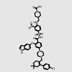 CC1(C)CCC(CN2CCN(c3ccc(C(=O)NS(=O)(=O)c4ccc(NCC5CCN(C(=O)O)CC5)c([N+](=O)[O-])c4)c(Oc4ccc5[nH]ccc5c4)c3)CC2)=C(c2ccc(Cl)cc2)C1